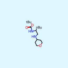 CCCCC(CNC1CCOCC1)NC(=O)OC(C)(C)C